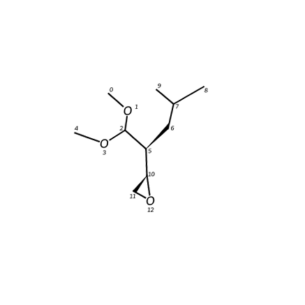 COC(OC)[C@@H](CC(C)C)[C@@H]1CO1